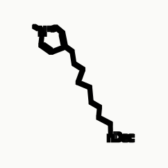 CCCCCCCCCCCCCCCCCCCc1cc[n+](C)cc1